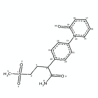 CS(=O)(=O)CCC(C(N)=O)c1ccc(-n2ccccc2=O)cc1